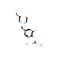 CC(C)Oc1ccc(CN2CCOC(CN)C2)cc1Cl